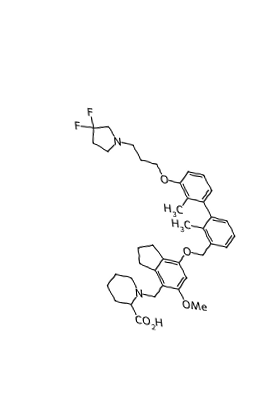 COc1cc(OCc2cccc(-c3cccc(OCCCN4CCC(F)(F)C4)c3C)c2C)c2c(c1CN1CCCCC1C(=O)O)CCC2